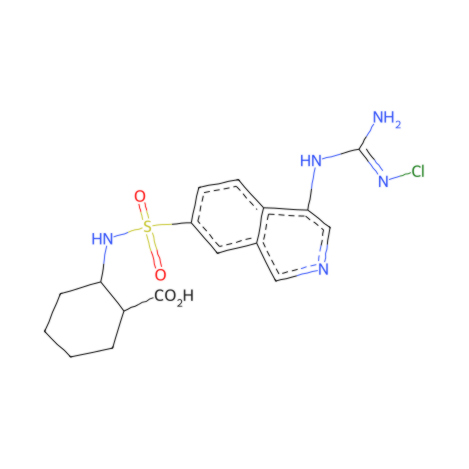 NC(=NCl)Nc1cncc2cc(S(=O)(=O)NC3CCCCC3C(=O)O)ccc12